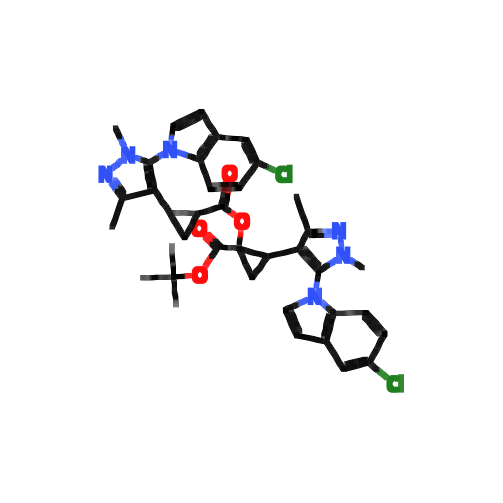 Cc1nn(C)c(-n2ccc3cc(Cl)ccc32)c1C1CC1C(=O)OC1(C(=O)OC(C)(C)C)CC1c1c(C)nn(C)c1-n1ccc2cc(Cl)ccc21